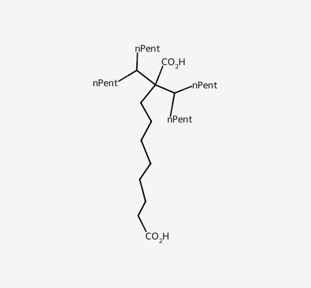 CCCCCC(CCCCC)C(CCCCCCCC(=O)O)(C(=O)O)C(CCCCC)CCCCC